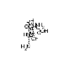 CC(C)[C@H](NC(=O)[C@@H](N)CCC(=O)O)C(=O)NCC(=O)N[C@@H](CCCCN)C(=O)O